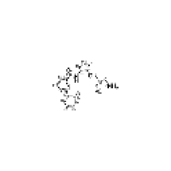 NCC(CCl)COc1sncc1NC(=O)c1cccc(-c2ccccc2F)n1